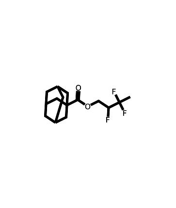 CC(F)(F)C(F)COC(=O)C12CC3CC(CC(C3)C1)C2